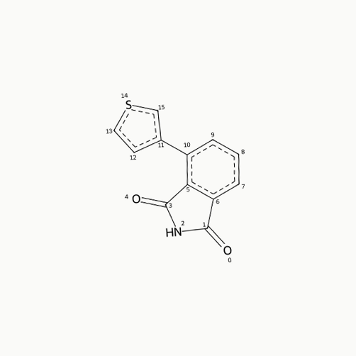 O=C1NC(=O)c2c1cccc2-c1ccsc1